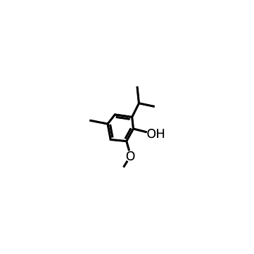 COc1cc(C)cc(C(C)C)c1O